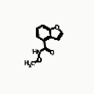 CONC(=O)c1cccc2occc12